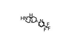 FC(F)(F)c1ccc([C@H]2CC[C@H]3CNCCN3C2)nc1